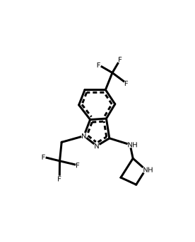 FC(F)(F)Cn1nc(NC2CCN2)c2cc(C(F)(F)F)ccc21